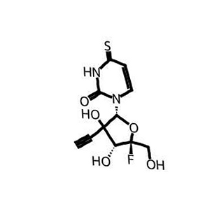 C#CC1(O)[C@@H](O)[C@@](F)(CO)O[C@H]1n1ccc(=S)[nH]c1=O